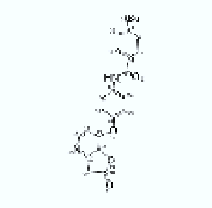 CC(C)(C)c1ccc(C(=O)Nc2ccc(Oc3ccnc4c3OC(=O)C4)cc2)cc1